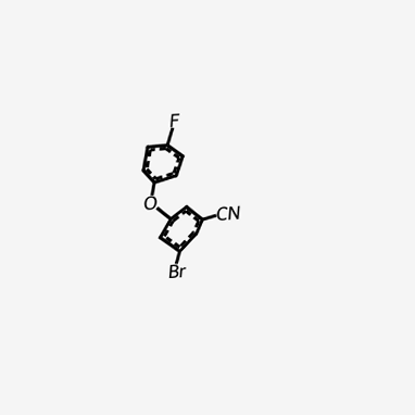 N#Cc1cc(Br)cc(Oc2ccc(F)cc2)c1